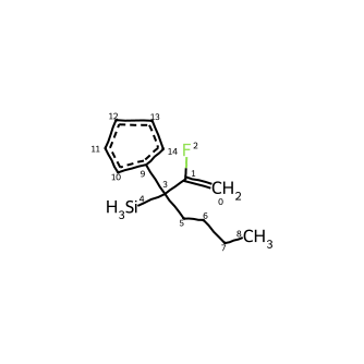 C=C(F)C([SiH3])(CCCC)c1ccccc1